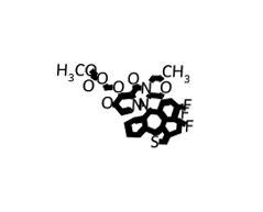 COC(=O)OCOc1c2n(ccc1=O)N(C1c3ccccc3-c3scc4c3-c3c1ccc(F)c3C(F)(F)C4)C1COC(C)CN1C2=O